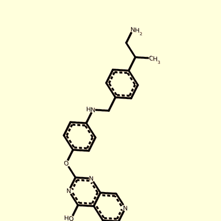 CC(CN)c1ccc(CNc2ccc(Oc3nc(O)c4ccncc4n3)cc2)cc1